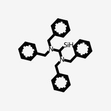 [SiH3]C(N(Cc1ccccc1)Cc1ccccc1)N(Cc1ccccc1)Cc1ccccc1